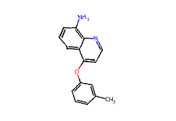 Cc1cccc(Oc2ccnc3c(N)cccc23)c1